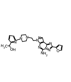 CC(O)c1cccc(N2CCN(CCn3ncc4c3nc(N)n3nc(-c5ccco5)nc43)CC2)n1